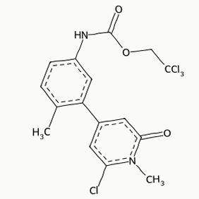 Cc1ccc(NC(=O)OCC(Cl)(Cl)Cl)cc1-c1cc(Cl)n(C)c(=O)c1